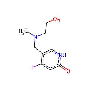 CN(CCO)Cc1c[nH]c(=O)cc1I